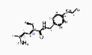 C=C/C(=C\C=C(\C)N)C(=O)NCc1ccc(SCC)cc1